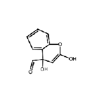 O=CC1(O)C=C(O)Oc2ccccc21